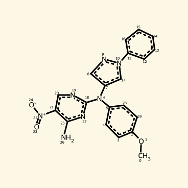 COc1ccc(N(c2cnn(-c3ccccc3)c2)c2ncc([N+](=O)[O-])c(N)n2)cc1